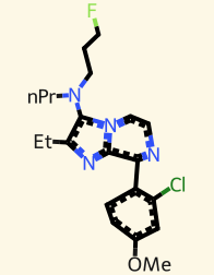 CCCN(CCCF)c1c(CC)nc2c(-c3ccc(OC)cc3Cl)nccn12